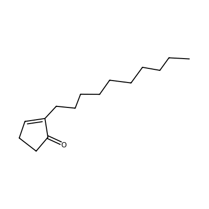 CCCCCCCCCCC1=CCCC1=O